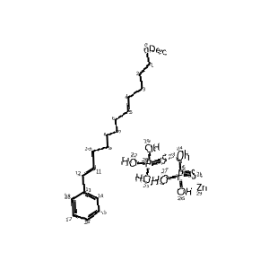 CCCCCCCCCCCCCCCCCCCCCCc1ccccc1.OP(O)(O)=S.OP(O)(O)=S.[Zn]